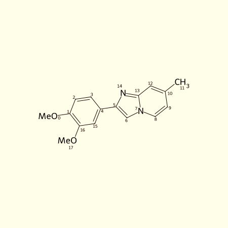 COc1ccc(-c2cn3ccc(C)cc3n2)cc1OC